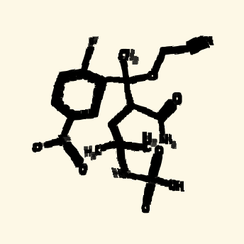 CC(C)(CC(C(N)=O)C(C)(OCC#N)c1cc([N+](=O)[O-])ccc1F)NS(=O)(=O)O